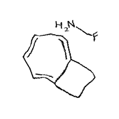 NF.c1ccc2c(c1)CC2